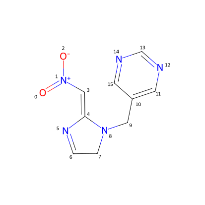 O=[N+]([O-])C=C1N=CCN1Cc1cncnc1